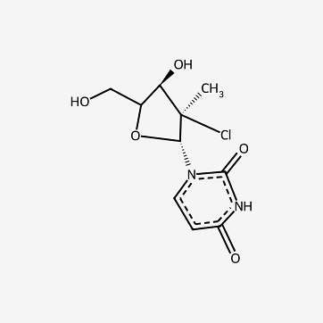 C[C@@]1(Cl)[C@H](O)C(CO)O[C@H]1n1ccc(=O)[nH]c1=O